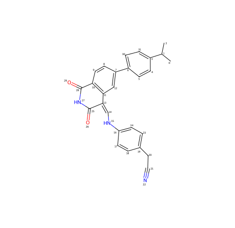 CC(C)c1ccc(-c2ccc3c(c2)C(=CNc2ccc(CC#N)cc2)C(=O)NC3=O)cc1